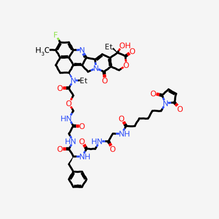 CCN(C(=O)COCNC(=O)CNC(=O)[C@H](Cc1ccccc1)NC(=O)CNC(=O)CNC(=O)CCCCCN1C(=O)C=CC1=O)[C@H]1CCc2c(C)c(F)cc3nc4c(c1c23)Cn1c-4cc2c(c1=O)COC(=O)[C@]2(O)CC